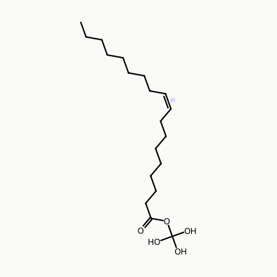 CCCCCCCC/C=C\CCCCCCCC(=O)OC(O)(O)O